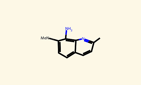 CNc1ccc2ccc(C)nc2c1N